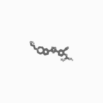 CCCCN1CCc2ccc(-c3noc(-c4ccc(OC(C)C)c(C#N)c4)n3)cc2CC1